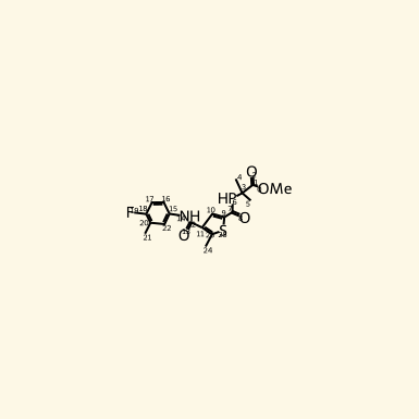 COC(=O)C(C)(C)PC(=O)c1cc(C(=O)Nc2ccc(F)c(C)c2)c(C)s1